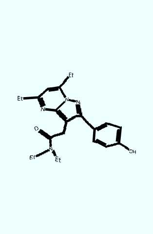 CCc1cc(CC)n2nc(-c3ccc(O)cc3)c(CC(=O)N(CC)CC)c2n1